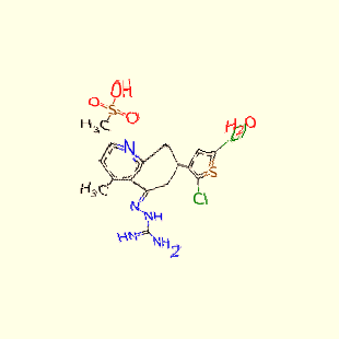 CS(=O)(=O)O.Cc1ccnc2c1C(=NNC(=N)N)CC(c1cc(Cl)sc1Cl)C2.O